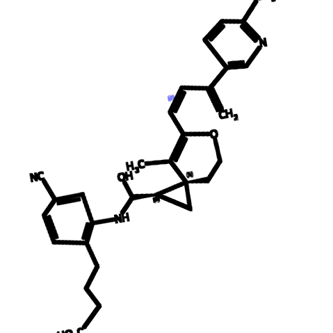 C=C(/C=C\C1=C(C)[C@]2(CCO1)C[C@H]2C(O)Nc1cc(C#N)ccc1CCCC(=O)O)c1ccc(C)nc1